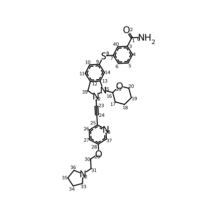 NC(=O)c1cccc(Sc2ccc3c(c2)N(C2CCCCO2)N(C#Cc2ccc(OCCN4CCCC4)cn2)C3)c1